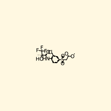 COC(=O)CS(=O)(=O)c1ccc(NC(=O)[C@@](C)(O)C(F)(F)F)c(Cl)c1